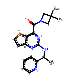 COC1(C)CN(C(=O)c2nc(NC(C)c3ccccn3)nc3ccsc23)C1